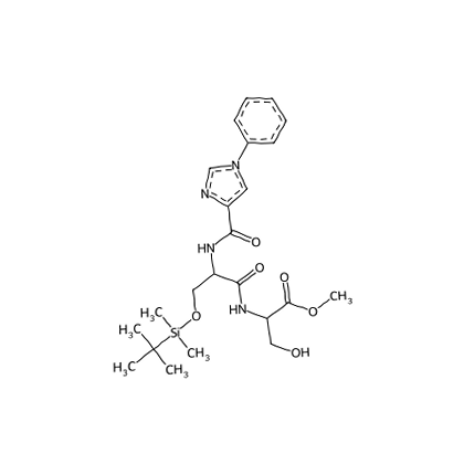 COC(=O)C(CO)NC(=O)C(CO[Si](C)(C)C(C)(C)C)NC(=O)c1cn(-c2ccccc2)cn1